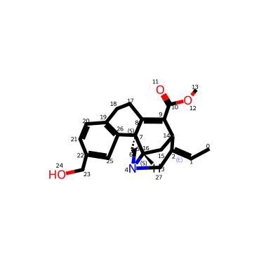 C/C=C1/CN2CC[C@]34C(=C(C(=O)OC)C1C[C@H]23)CCc1ccc(CO)cc14